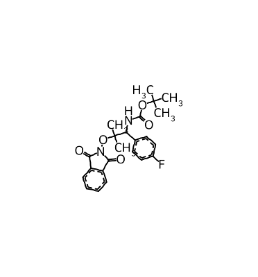 CC(C)(C)OC(=O)NC(c1ccc(F)cc1)C(C)(C)ON1C(=O)c2ccccc2C1=O